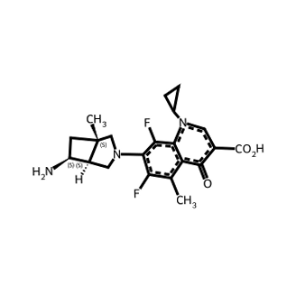 Cc1c(F)c(N2C[C@H]3[C@@H](N)C[C@]3(C)C2)c(F)c2c1c(=O)c(C(=O)O)cn2C1CC1